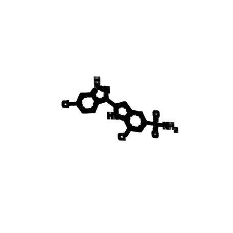 NS(=O)(=O)c1cc(Cl)c2[nH]c(-c3n[nH]c4cc(Cl)ccc34)cc2c1